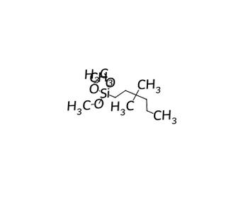 CCCC(C)(C)CC[Si](OC)(OC)OC